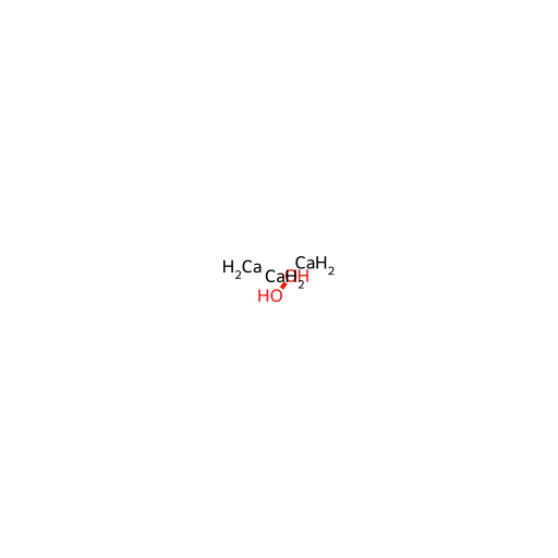 OO.[CaH2].[CaH2].[CaH2]